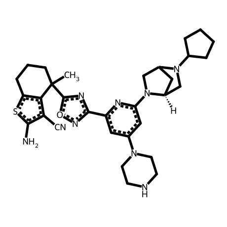 CC1(c2nc(-c3cc(N4CCNCC4)cc(N4CC5C[C@H]4CN5C4CCCC4)n3)no2)CCCc2sc(N)c(C#N)c21